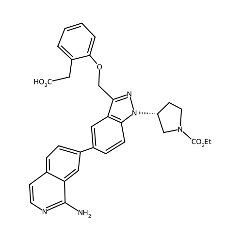 CCOC(=O)N1CC[C@@H](n2nc(COc3ccccc3CC(=O)O)c3cc(-c4ccc5ccnc(N)c5c4)ccc32)C1